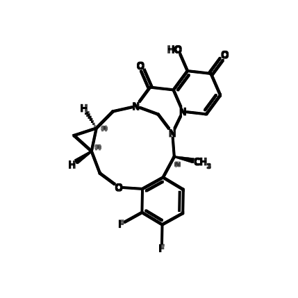 C[C@H]1c2ccc(F)c(F)c2OC[C@@H]2C[C@H]2CN2CN1n1ccc(=O)c(O)c1C2=O